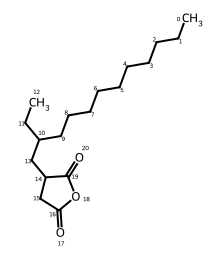 CCCCCCCCCCC(CC)CC1CC(=O)OC1=O